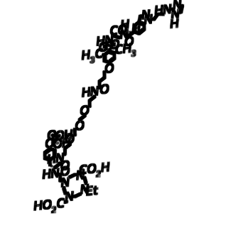 CCN1CCN(CC(=O)O)CCN(CC(=O)N[C@H](Cc2ccc(OP(=O)(O)O)cc2)C(=O)NCCCOCCOCCOCCCNC(=O)CCCOc2cc(C)c(S(=O)(=O)N[C@@H](CNC(=O)c3ccc4c(cnn4CCCNc4ncc[nH]4)c3)C(=O)O)c(C)c2)CCN(C(=O)O)CC1